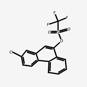 O=S(=O)(Oc1cc2cc(Cl)ccc2c2ccccc12)C(F)(F)F